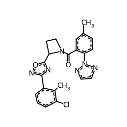 Cc1ccc(-n2nccn2)c(C(=O)N2CCC2c2nc(-c3cccc(Cl)c3C)no2)c1